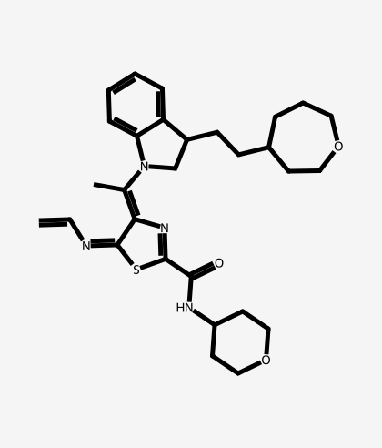 C=C/N=C1/SC(C(=O)NC2CCOCC2)=N/C1=C(/C)N1CC(CCC2CCCOCC2)c2ccccc21